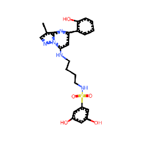 Cc1cnn2c(NCCCCNS(=O)(=O)c3cc(O)cc(O)c3)cc(-c3ccccc3O)nc12